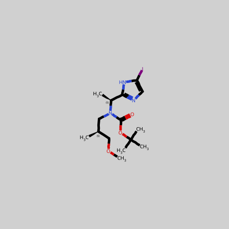 COC[C@@H](C)CN(C(=O)OC(C)(C)C)[C@@H](C)c1ncc(I)[nH]1